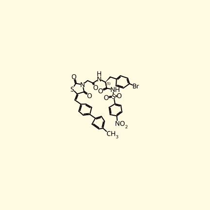 Cc1ccc(-c2ccc(C=C3SC(=O)N(CC(=O)N[C@@H](Cc4ccc(Br)cc4)C(=O)NS(=O)(=O)c4ccc([N+](=O)[O-])cc4)C3=O)cc2)cc1